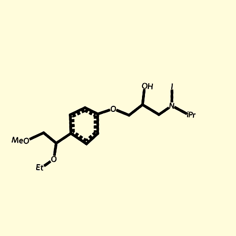 CCOC(COC)c1ccc(OCC(O)CN(I)C(C)C)cc1